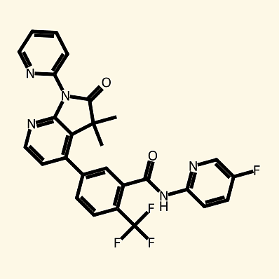 CC1(C)C(=O)N(c2ccccn2)c2nccc(-c3ccc(C(F)(F)F)c(C(=O)Nc4ccc(F)cn4)c3)c21